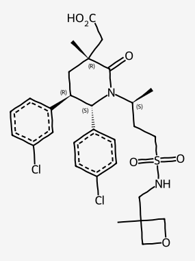 C[C@@H](CCS(=O)(=O)NCC1(C)COC1)N1C(=O)[C@@](C)(CC(=O)O)C[C@H](c2cccc(Cl)c2)[C@H]1c1ccc(Cl)cc1